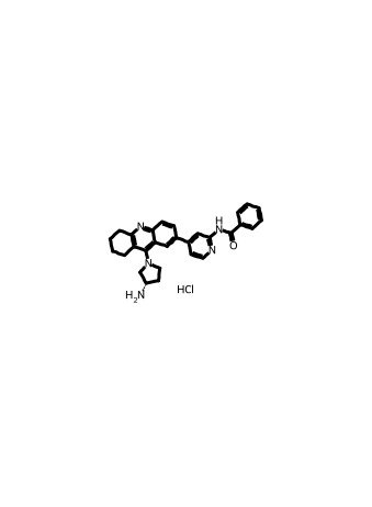 Cl.N[C@H]1CCN(c2c3c(nc4ccc(-c5ccnc(NC(=O)c6ccccc6)c5)cc24)CCCC3)C1